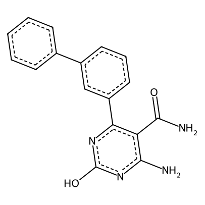 NC(=O)c1c(N)nc(O)nc1-c1cccc(-c2ccccc2)c1